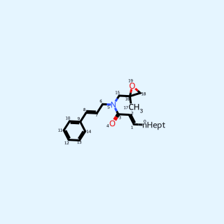 CCCCCCCC=CC(=O)N(CC=Cc1ccccc1)CC1(C)CO1